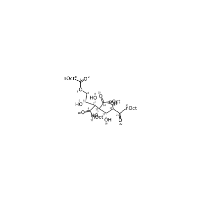 CCCCCCCCC(=O)OC[C@@H](O)[C@](O)(C(=O)CCCCCCCC)[C@@](O)(C(=O)CCCCCCCC)[C@@H](O)C(O)C(=O)CCCCCCCC